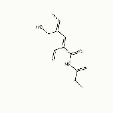 C=C/C(=C\C(=C\C)CO)C(=O)NC(=C)CC